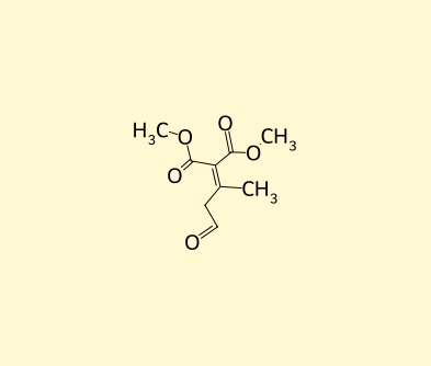 COC(=O)C(C(=O)OC)=C(C)CC=O